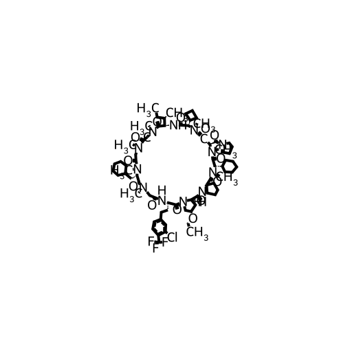 CCO[C@@H]1C[C@H]2C(=O)NC3(CCCC3)C(=O)N(C)[C@@H](C3CCCCC3)C(=O)N(C)[C@H](C(=O)N3CCCC3)CC(=O)N(C)[C@@H](C3CCC3)C(=O)N[C@@H]([C@@H](C)CC)C(=O)N(C)CC(=O)N(C)CC(=O)N(C)[C@@H](CC3CCCCC3)C(=O)N(C)CC(=O)N[C@@H](CCc3ccc(C(F)(F)F)c(Cl)c3)C(=O)N2C1